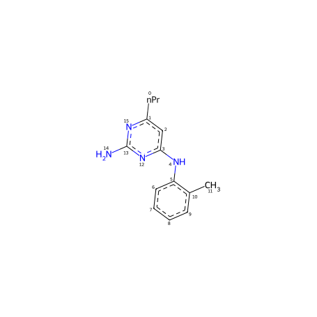 CCCc1cc(Nc2ccccc2C)nc(N)n1